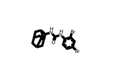 O=C(Nc1ccc(Br)cc1Br)NC1C2CC3CC(C2)CC1C3